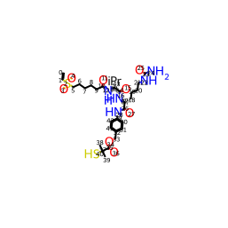 C=CS(=O)(=O)CCCCCC(=O)N[C@@H](C(=O)N[C@H](CCCCNC(N)=O)C(=O)Nc1ccc(COC(=O)C(C)(C)S)cc1)C(C)C